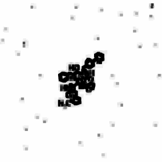 CC[C@H](C)[C@H](C(=O)N[C@@H](Cc1ccccc1)[C@@H](O)CN(Cc1ccc(-c2ccccn2)cc1)NC(=O)O[C@@H]1CCOC1=O)C1CNC(=O)N1Cc1cccc(C)n1